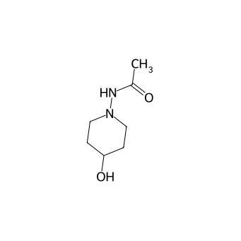 CC(=O)NN1CCC(O)CC1